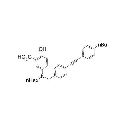 CCCCCCN(Cc1ccc(C#Cc2ccc(CCCC)cc2)cc1)c1ccc(O)c(C(=O)O)c1